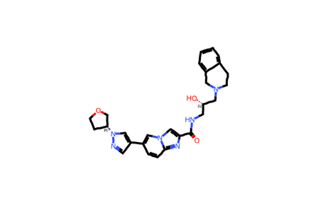 O=C(NC[C@H](O)CN1CCc2ccccc2C1)c1cn2cc(-c3cnn([C@@H]4CCOC4)c3)ccc2n1